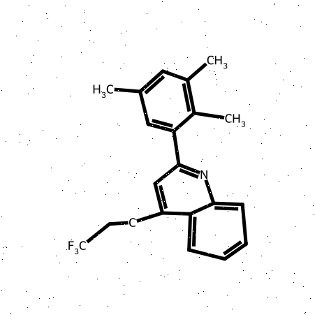 Cc1cc(C)c(C)c(-c2cc(CCC(F)(F)F)c3ccccc3n2)c1